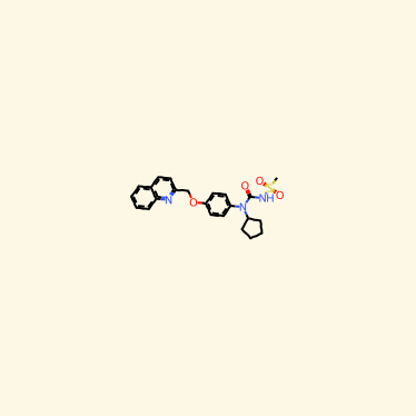 CS(=O)(=O)NC(=O)N(c1ccc(OCc2ccc3ccccc3n2)cc1)C1CCCC1